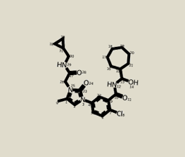 Cc1cn(-c2ccc(Cl)c(C(=O)NC(O)C3CCCCCC3)c2)c(=O)n1CC(=O)NCC1CC1